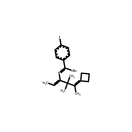 C/C=C(\N=C(/CCCC)c1ccc(F)cc1)C(C)(C)C(C)=C1CCC1